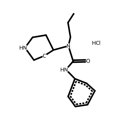 CCCN(C(=O)Nc1ccccc1)C1CCNCC1.Cl